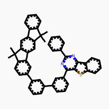 CC1(C)c2ccccc2-c2cc3c(cc21)-c1cc(-c2cccc(-c4cccc(-c5nc(-c6ccccc6)nc6c5sc5ccccc56)c4)c2)ccc1C3(C)C